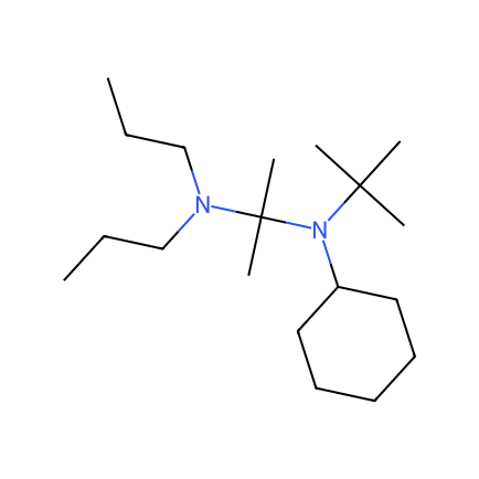 CCCN(CCC)C(C)(C)N(C1CCCCC1)C(C)(C)C